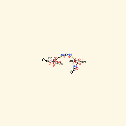 CC(=O)N[C@H]1[C@H]([C@H](O)[C@H](O)CNC(=O)c2ccc(-c3ccccc3)cc2)O[C@@](OCCCSCCC(=O)Nc2ccc(NC(=O)CCSCCCO[C@]3(C(=O)O)C[C@H](O)[C@@H](NC(C)=O)[C@H]([C@H](O)[C@H](O)CNC(=O)c4ccc(-c5ccccc5)cc4)O3)cc2)(C(=O)O)C[C@@H]1O